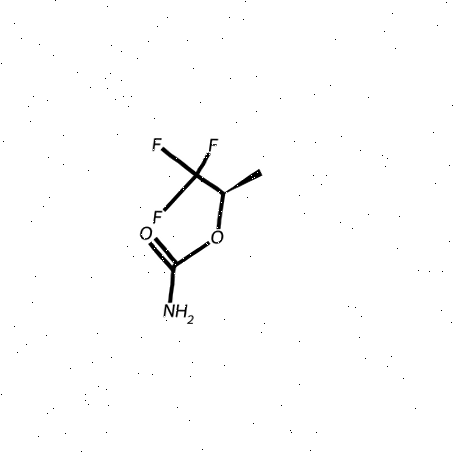 C[C@@H](OC(N)=O)C(F)(F)F